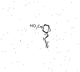 [N-]=[N+]=NC[C@H]1CN(C(=O)O)CCO1